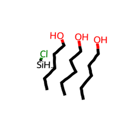 CCCCCO.CCCCCO.CCCCCO.[SiH3]Cl